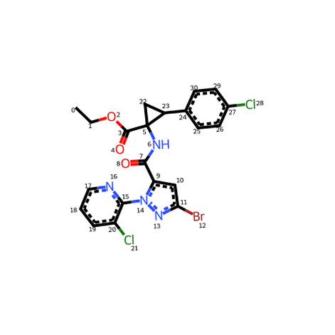 CCOC(=O)C1(NC(=O)c2cc(Br)nn2-c2ncccc2Cl)CC1c1ccc(Cl)cc1